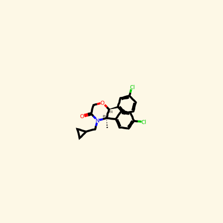 C[C@@]1(c2ccc(Cl)cc2)[C@H](c2cccc(Cl)c2)OCC(=O)N1CC1CC1